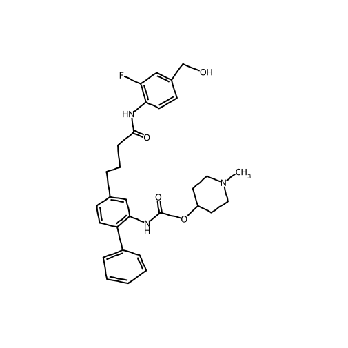 CN1CCC(OC(=O)Nc2cc(CCCC(=O)Nc3ccc(CO)cc3F)ccc2-c2ccccc2)CC1